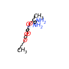 CCCCCCCCOC1CCC(OC(=O)c2ccc(/C=C/C(=O)OCC(CCCC)c3cc(N)cc(N)c3)cc2)CC1